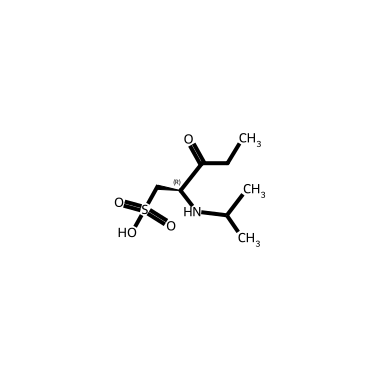 CCC(=O)[C@H](CS(=O)(=O)O)NC(C)C